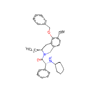 COc1ccc2c(c1OCc1ccccc1)C[C@H](C(=O)O)N(C(=O)[C@H](NC1CCCC1)c1ccccc1)C2